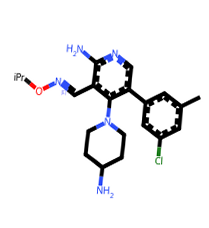 Cc1cc(Cl)cc(-c2cnc(N)c(/C=N/OC(C)C)c2N2CCC(N)CC2)c1